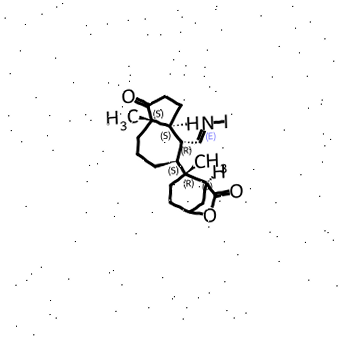 C[C@]1([C@H]2CCC[C@]3(C)C(=O)CC[C@H]3[C@@H]2/C=N/I)CCC2C[C@@H]1C(=O)O2